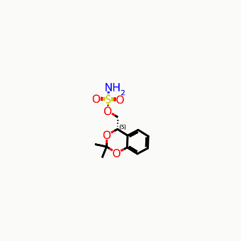 CC1(C)Oc2ccccc2[C@@H](COS(N)(=O)=O)O1